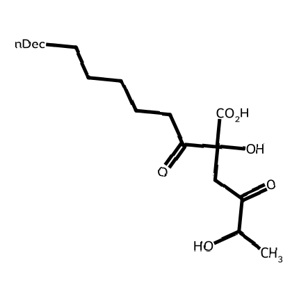 CCCCCCCCCCCCCCCC(=O)C(O)(CC(=O)C(C)O)C(=O)O